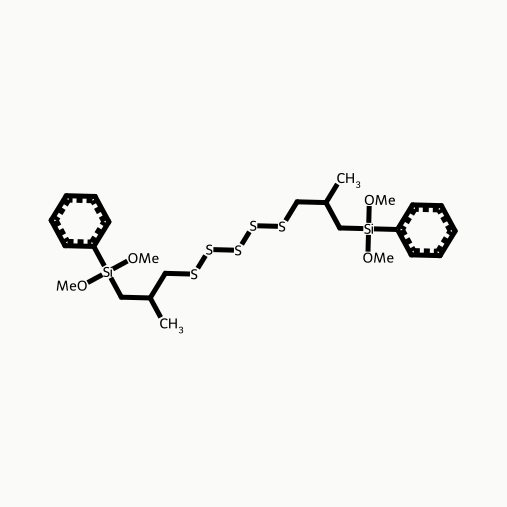 CO[Si](CC(C)CSSSSSCC(C)C[Si](OC)(OC)c1ccccc1)(OC)c1ccccc1